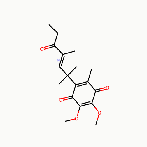 CCC(=O)/C(C)=C/C(C)(C)C1=C(C)C(=O)C(OC)=C(OC)C1=O